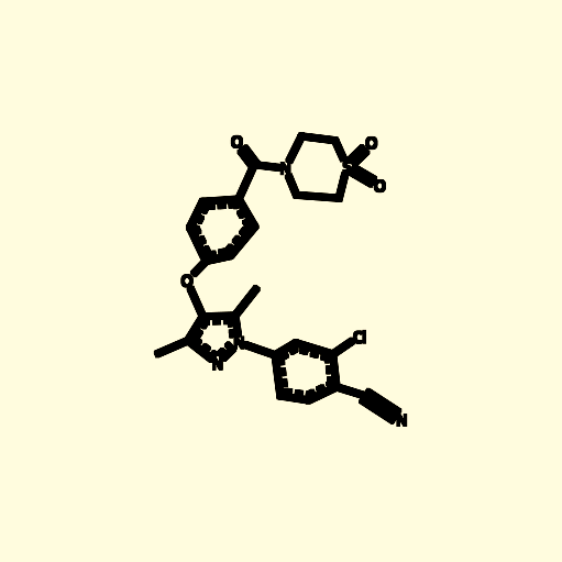 Cc1nn(-c2ccc(C#N)c(Cl)c2)c(C)c1Oc1ccc(C(=O)N2CCS(=O)(=O)CC2)cc1